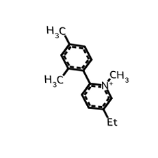 CCc1ccc(-c2ccc(C)cc2C)[n+](C)c1